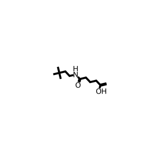 C=C(O)CCCC(=O)NCCC(C)(C)C